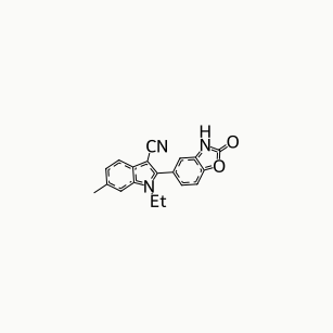 CCn1c(-c2ccc3oc(=O)[nH]c3c2)c(C#N)c2ccc(C)cc21